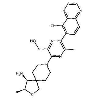 Cc1nc(N2CCC3(CC2)CO[C@@H](C)[C@H]3N)c(CO)nc1-c1ccc2nccnc2c1Cl